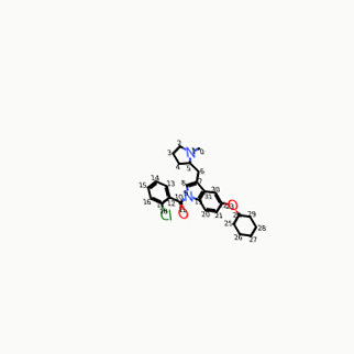 CN1CCCC1Cc1cn(C(=O)c2ccccc2Cl)c2ccc(OC3CCCCC3)cc12